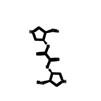 CO[C@@H]1CNC[C@H]1OC(=O)C(=O)O[C@@H]1CNC[C@H]1OC